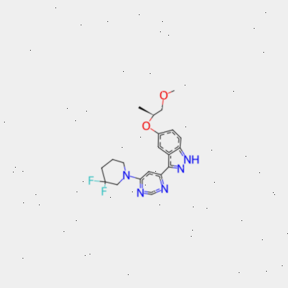 COC[C@H](C)Oc1ccc2[nH]nc(-c3cc(N4CCCC(F)(F)C4)ncn3)c2c1